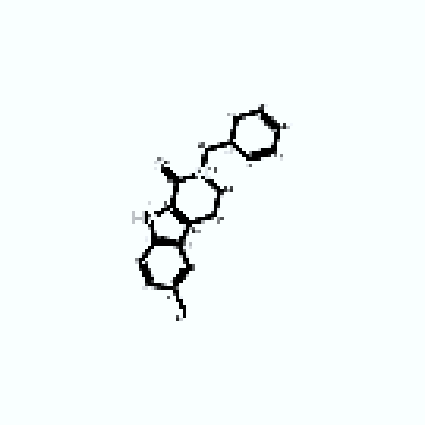 S=C1c2[nH]c3ccc(I)cc3c2CCN1CC1C=CC=CC1